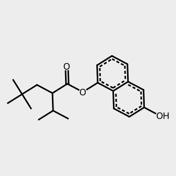 CC(C)C(CC(C)(C)C)C(=O)Oc1cccc2cc(O)ccc12